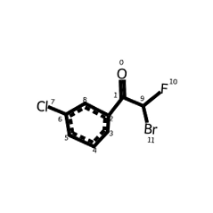 O=C(c1cccc(Cl)c1)C(F)Br